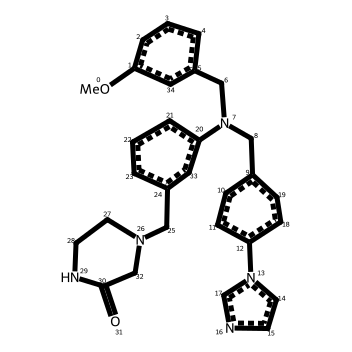 COc1cccc(CN(Cc2ccc(-n3ccnc3)cc2)c2cccc(CN3CCNC(=O)C3)c2)c1